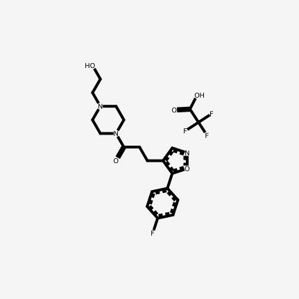 O=C(CCc1cnoc1-c1ccc(F)cc1)N1CCN(CCO)CC1.O=C(O)C(F)(F)F